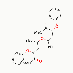 CCCCC(CC(Oc1ccccc1)C(=O)OC)OC(CCCC)CC(Oc1ccccc1)C(=O)OC